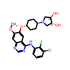 COc1cc2ncnc(Nc3cccc(Cl)c3F)c2cc1O[C@H]1CC[C@H](N2C[C@@H](O)[C@H](O)C2)CC1